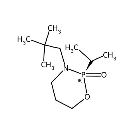 CC(C)[P@@]1(=O)OCCCN1CC(C)(C)C